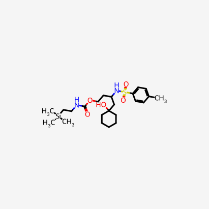 Cc1ccc(S(=O)(=O)NC(CCOC(=O)NCC[Si](C)(C)C)CC2(O)CCCCC2)cc1